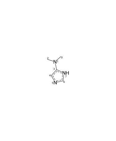 CN(C)c1cnc[nH]1